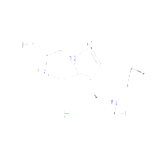 CC1Cn2ncc(C(=O)N(C)C3CC3)c2CN1.Cl